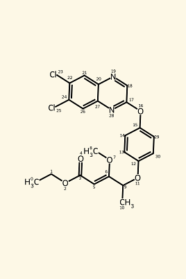 CCOC(=O)C=C(OC)C(C)Oc1ccc(Oc2cnc3cc(Cl)c(Cl)cc3n2)cc1